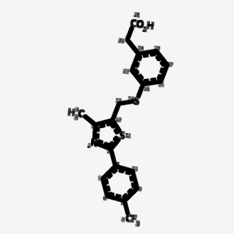 Cc1nc(-c2ccc(C(F)(F)F)cc2)sc1CSc1cccc(CC(=O)O)c1